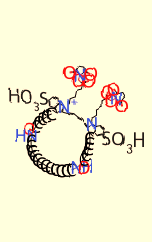 CC12CCCCCC(=O)NCCCCCCCCCCCCNC(=O)CCCCCC3(C)/C(=C/C=C/C=C/C1=[N+](CCCCCC(=O)ON1C(=O)CCC1=O)c1ccc(S(=O)(=O)O)cc12)N(CCCCCC(=O)ON1C(=O)CCC1=O)c1ccc(S(=O)(=O)O)cc13